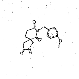 COc1ccc(CN2C(=O)CCC3(CNC(=O)C3)C2=O)cc1